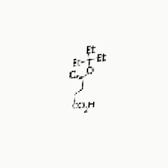 CCC(CC)(CC)OC(=O)CCC(=O)O